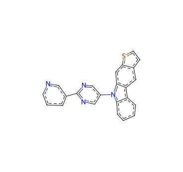 c1cncc(-c2ncc(-n3c4ccccc4c4cc5ccsc5cc43)cn2)c1